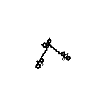 Cc1ccc2c(c1)-c1cc(C)ccc1C2(CCCCCCCCc1ccc2c(c1)c(=O)c1ccccc1n2C)CCCCCCCCc1ccc2c(c1)c(=O)c1ccccc1n2C